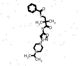 CC(C)N1CCN([n+]2cc([N-]C(=O)C(C)(C)CSC(=O)c3ccccc3)on2)CC1